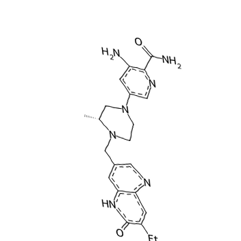 CCc1cc2ncc(CN3CCN(c4cnc(C(N)=O)c(N)c4)C[C@H]3C)cc2[nH]c1=O